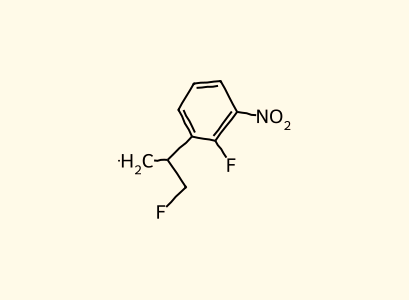 [CH2]C(CF)c1cccc([N+](=O)[O-])c1F